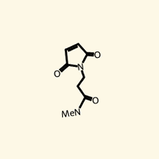 CNC(=O)CCN1C(=O)C=CC1=O